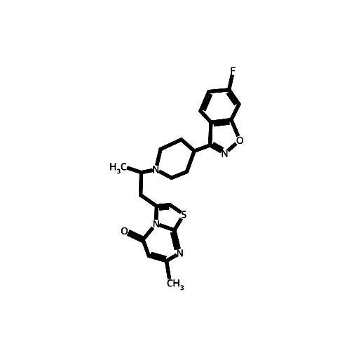 Cc1cc(=O)n2c(CC(C)N3CCC(c4noc5cc(F)ccc45)CC3)csc2n1